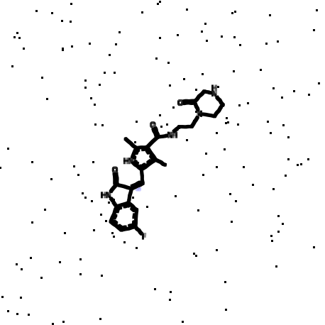 Cc1[nH]c(/C=C2\C(=O)Nc3ccc(F)cc32)c(C)c1C(=O)NCCN1CCNCC1=O